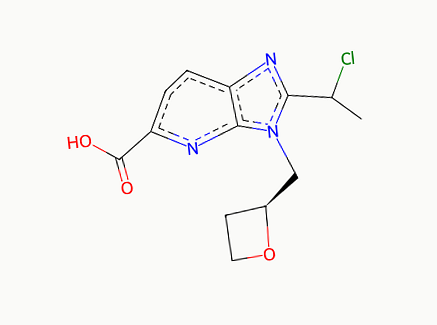 CC(Cl)c1nc2ccc(C(=O)O)nc2n1C[C@@H]1CCO1